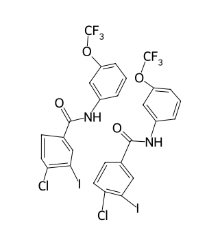 O=C(Nc1cccc(OC(F)(F)F)c1)c1ccc(Cl)c(I)c1.O=C(Nc1cccc(OC(F)(F)F)c1)c1ccc(Cl)c(I)c1